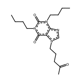 CCCCn1c(=O)c2c(ncn2CCCC(C)=O)n(CCCC)c1=O